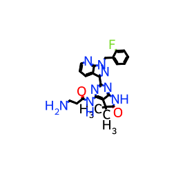 CC1(C)C(=O)Nc2nc(-c3nn(Cc4ccccc4F)c4ncccc34)nc(NC(=O)CCN)c21